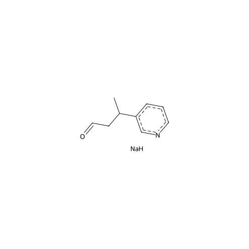 CC(CC=O)c1cccnc1.[NaH]